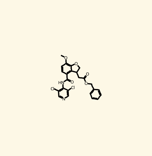 COc1ccc(C(=O)Nc2c(Cl)cncc2Cl)c2c1OCC2CC(=O)OCc1ccccc1